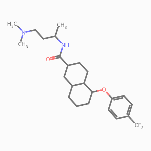 CC(CCN(C)C)NC(=O)C1CCC2C(CCCC2Oc2ccc(C(F)(F)F)cc2)C1